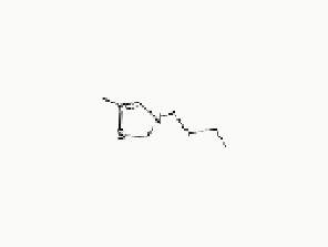 CCCCN1C=C(C)SC1